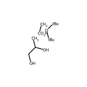 CC(=O)O.CC(C)(C)OC(C)(C)C.CC(O)CO